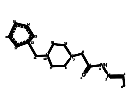 C/C=N/NC(=O)CN1CCN(Cc2ccccc2)CC1